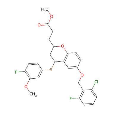 COC(=O)CCC1CC(Sc2ccc(F)c(OC)c2)c2cc(OCc3c(F)cccc3Cl)ccc2O1